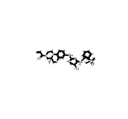 C=CC(=O)N1CCN2c3ccc(Nc4ncc(Cl)c(Nc5ccccc5P(C)(C)=O)n4)cc3OC[C@H]2C1